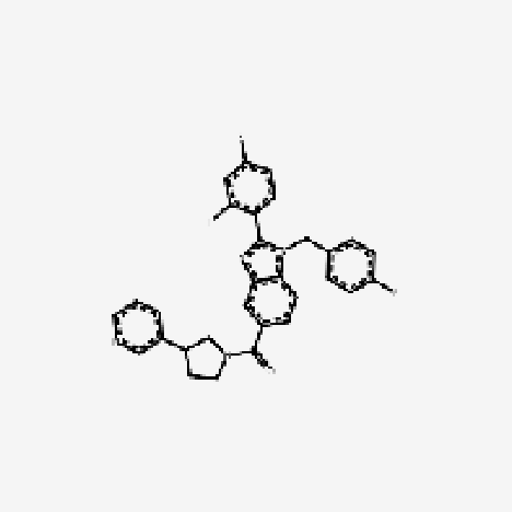 O=C(c1ccc2c(c1)nc(-c1ccc(F)cc1F)n2Cc1ccc(F)cc1)N1CCC(c2cccnc2)C1